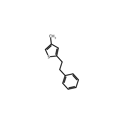 Cc1csc(CCc2ccccc2)c1